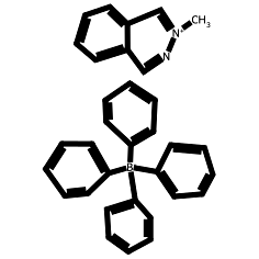 C[n+]1cc2ccccc2cn1.c1ccc([B-](c2ccccc2)(c2ccccc2)c2ccccc2)cc1